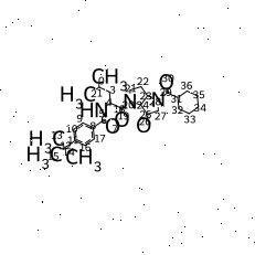 CC(C)CC(NC(=O)c1ccc(C(C)(C)C)cc1)C(=O)N1CCC2C1C(=O)CN2C(=O)C1CCCCC1